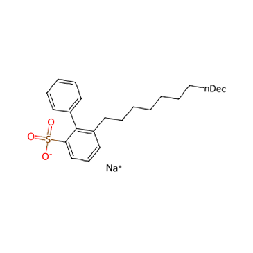 CCCCCCCCCCCCCCCCCc1cccc(S(=O)(=O)[O-])c1-c1ccccc1.[Na+]